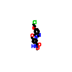 CONC(=O)c1ccc(C)c(-n2cnc3ccc(OCCCl)cc3c2=O)c1